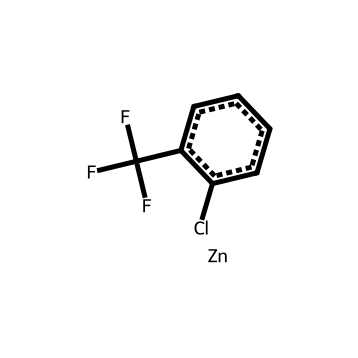 FC(F)(F)c1ccccc1Cl.[Zn]